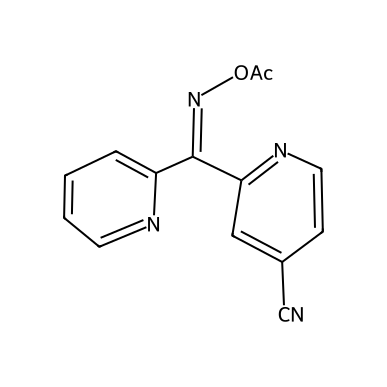 CC(=O)ON=C(c1ccccn1)c1cc(C#N)ccn1